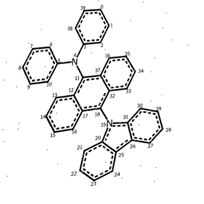 c1ccc(N(c2ccccc2)c2c3ccccc3c(-n3c4ccccc4c4ccccc43)c3ccccc23)cc1